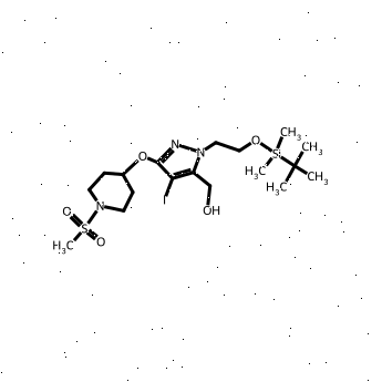 CC(C)(C)[Si](C)(C)OCCn1nc(OC2CCN(S(C)(=O)=O)CC2)c(I)c1CO